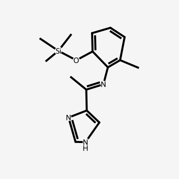 CC(=Nc1c(C)cccc1O[Si](C)(C)C)c1c[nH]cn1